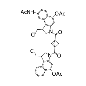 CC(=O)Nc1ccc2c(OC(C)=O)cc3c(c2c1)[C@H](CCl)CN3C(=O)C12CC(C(=O)N3C[C@@H](CCl)c4c3cc(OC(C)=O)c3ccccc43)(C1)C2